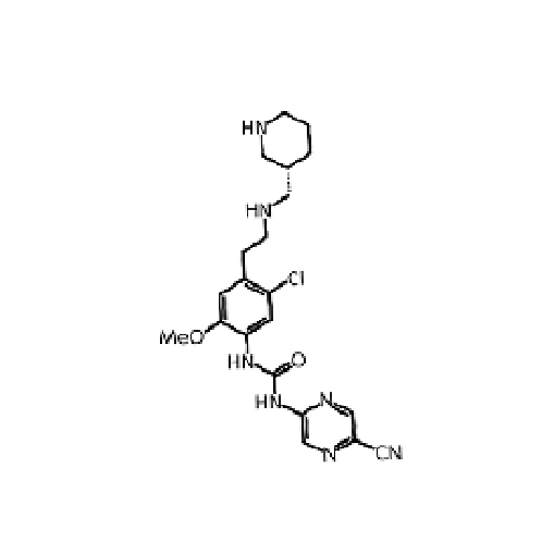 COc1cc(CCNC[C@H]2CCCNC2)c(Cl)cc1NC(=O)Nc1cnc(C#N)cn1